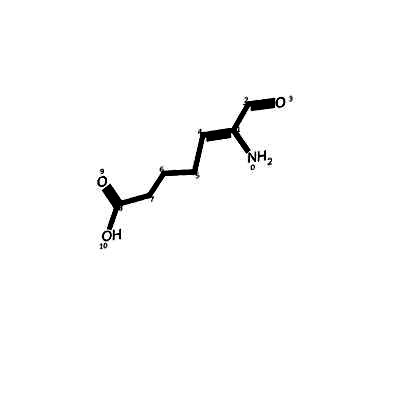 NC([C]=O)=CCCCC(=O)O